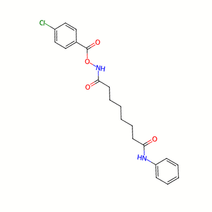 O=C(CCCCCCC(=O)Nc1ccccc1)NOC(=O)c1ccc(Cl)cc1